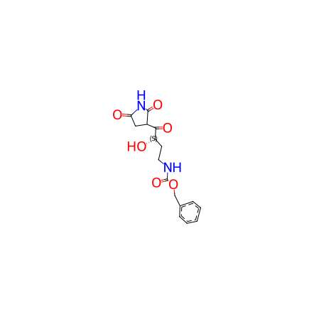 O=C1CC(C(=O)[C@@H](O)CCNC(=O)OCc2ccccc2)C(=O)N1